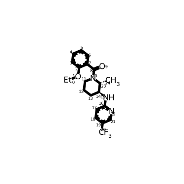 CCOc1ccccc1C(=O)N1CCC[C@H](Nc2ccc(C(F)(F)F)cn2)[C@H]1C